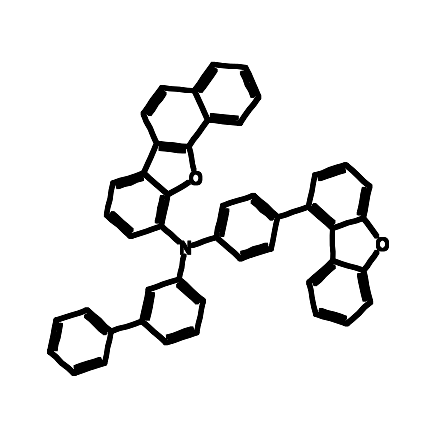 c1ccc(-c2cccc(N(c3ccc(-c4cccc5oc6ccccc6c45)cc3)c3cccc4c3oc3c5ccccc5ccc43)c2)cc1